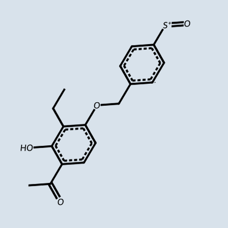 CCc1c(OCc2[c]cc([S+]=O)cc2)ccc(C(C)=O)c1O